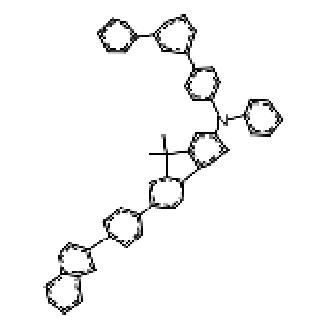 CC1(C)c2cc(-c3ccc(-c4ccc5ccccc5c4)cc3)ccc2-c2ccc(N(c3ccccc3)c3ccc(-c4cccc(-c5ccccc5)c4)cc3)cc21